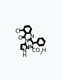 O=C(O)NC(c1ccccc1)c1nc2cccc(Cl)c2c(=O)n1-c1cc[nH]n1